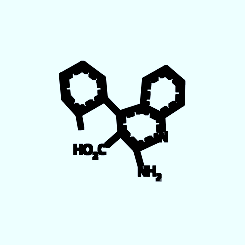 Cc1ccccc1-c1c(C(=O)O)c(N)nc2ccccc12